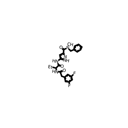 CCC(NC(=O)Cc1cc(F)cc(F)c1)C(=O)Nc1cc(C(=O)N(C)Cc2ccccc2)n[nH]1